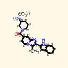 Cc1c(-c2cc3ccccc3[nH]2)nc2cc(C(=O)N3CCCC(NC(=O)O)C3)ccn12